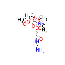 CC(=O)NC1C(OCCCC(C=O)CNCCCN)OC(COC(C)=O)C(OC(C)=O)C1OC(C)=O